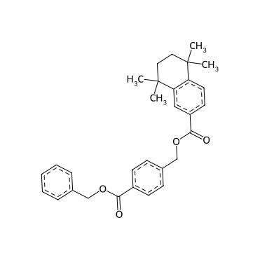 CC1(C)CCC(C)(C)c2cc(C(=O)OCc3ccc(C(=O)OCc4ccccc4)cc3)ccc21